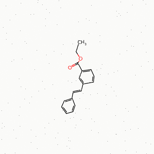 CCOC(=O)c1cccc(C=Cc2ccccc2)c1